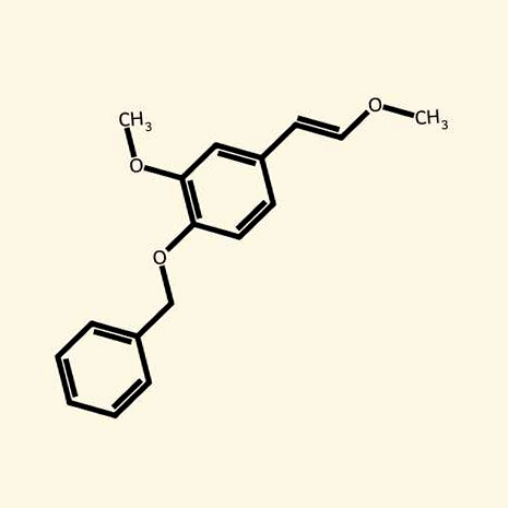 COC=Cc1ccc(OCc2ccccc2)c(OC)c1